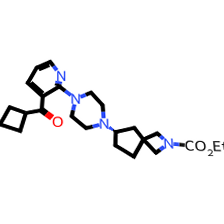 CCOC(=O)N1CC2(CC[C@@H](N3CCN(c4ncccc4C(=O)C4CCC4)CC3)C2)C1